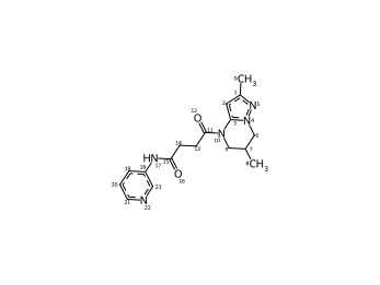 Cc1cc2n(n1)CC(C)CN2C(=O)CCC(=O)Nc1cccnc1